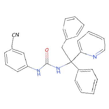 N#Cc1cccc(NC(=O)NC(Cc2ccccc2)(c2ccccc2)c2ccccn2)c1